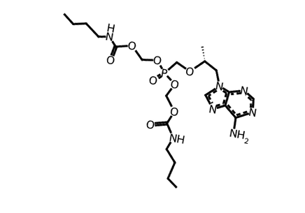 CCCCNC(=O)OCOP(=O)(CO[C@H](C)Cn1cnc2c(N)ncnc21)OCOC(=O)NCCCC